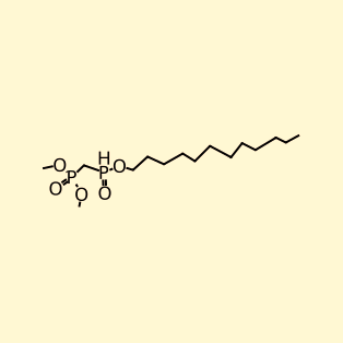 CCCCCCCCCCCCO[PH](=O)CP(=O)(OC)OC